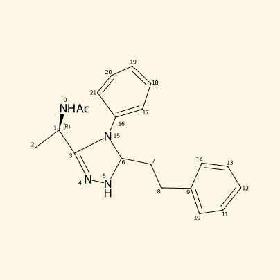 CC(=O)N[C@H](C)C1=NNC(CCc2ccccc2)N1c1ccccc1